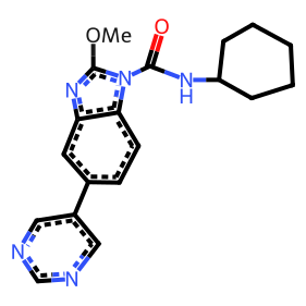 COc1nc2cc(-c3cncnc3)ccc2n1C(=O)NC1CCCCC1